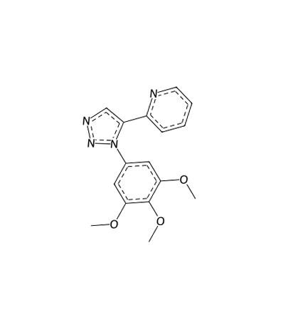 COc1cc(-n2nncc2-c2ccccn2)cc(OC)c1OC